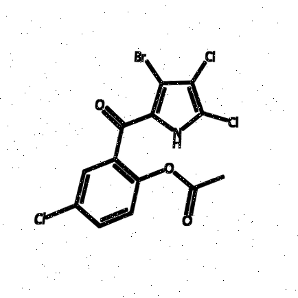 CC(=O)Oc1ccc(Cl)cc1C(=O)c1[nH]c(Cl)c(Cl)c1Br